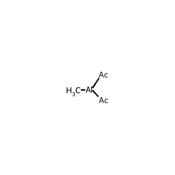 C[C](=O)[Al]([CH3])[C](C)=O